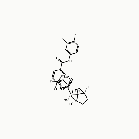 O=C(Nc1ccc(F)c(F)c1)c1ccc(Cl)c(S(=O)(=O)[C@@H]2C[C@H]3CC[C@@H](C2)[C@@]3(O)[C@H](O)c2cccc(F)n2)c1